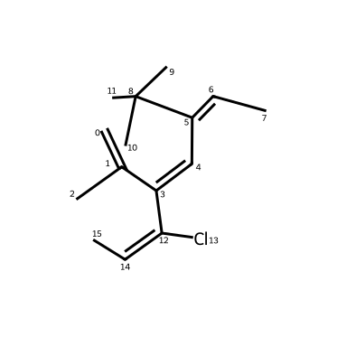 C=C(C)C(=C\C(=C/C)C(C)(C)C)/C(Cl)=C\C